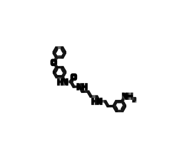 Nc1cccc(CCNCCCCNCC(=O)Nc2ccc(Oc3ccccc3)cc2)c1